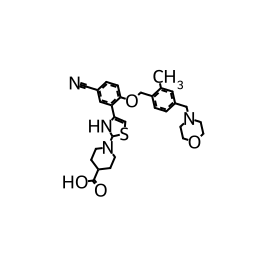 Cc1cc(CN2CCOCC2)ccc1COc1ccc(C#N)cc1C1=CSC(N2CCC(C(=O)O)CC2)N1